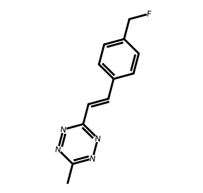 Cc1nnc(/C=C/c2ccc(CF)cc2)nn1